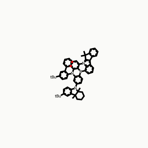 Cc1cc2c3c(c1)-n1c4c(c5cccc(c51)B3c1ccc(N3c5ccc(C(C)(C)C)cc5C5(C)CCCCC35C)cc1N2c1ccc(C(C)(C)C)cc1-c1ccccc1)-c1ccccc1C4(C)C